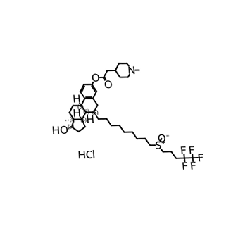 CN1CCC(CC(=O)Oc2ccc3c(c2)C[C@@H](CCCCCCCCC[S+]([O-])CCCC(F)(F)C(F)(F)F)[C@@H]2[C@@H]3CC[C@]3(C)[C@@H](O)CC[C@@H]23)CC1.Cl